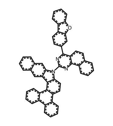 c1ccc2cc3c(cc2c1)c1c2c4ccccc4c4ccccc4c2ccc1n3-c1nc(-c2ccc3c(c2)oc2ccccc23)c2ccc3ccccc3c2n1